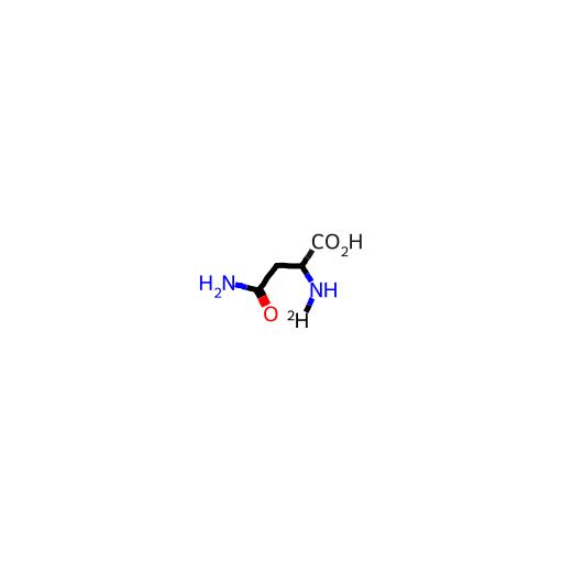 [2H]NC(CC(N)=O)C(=O)O